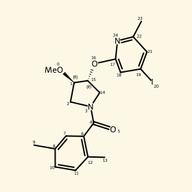 CO[C@@H]1CN(C(=O)c2cc(C)ccc2C)C[C@H]1Oc1cc(I)cc(C)n1